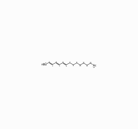 CCCC/C=C/C=C/C=C/CCCCCCCC(C)=O